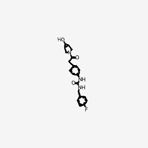 O=C(NCc1ccc(F)cc1)Nc1ccc(CC(=O)N2CC3C(O)C3C2)cc1